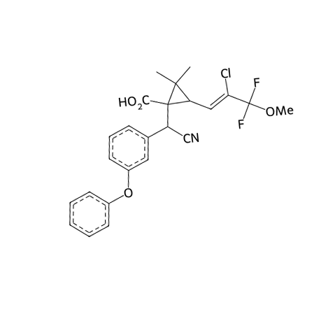 COC(F)(F)C(Cl)=CC1C(C)(C)C1(C(=O)O)C(C#N)c1cccc(Oc2ccccc2)c1